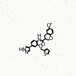 COc1ccc2c(c1)CC(C(=O)Nc1ccc(-c3cn[nH]c3)cc1OCc1cccs1)CO2